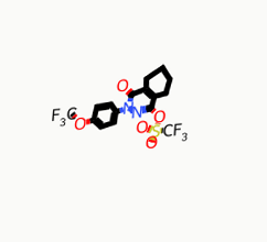 O=c1c2c(c(OS(=O)(=O)C(F)(F)F)nn1-c1ccc(OC(F)(F)F)cc1)CCCC2